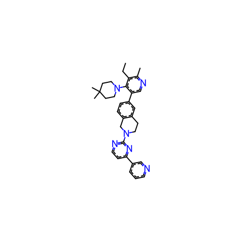 CCc1c(C)ncc(-c2ccc3c(c2)CCN(c2nccc(-c4cccnc4)n2)C3)c1N1CCC(C)(C)CC1